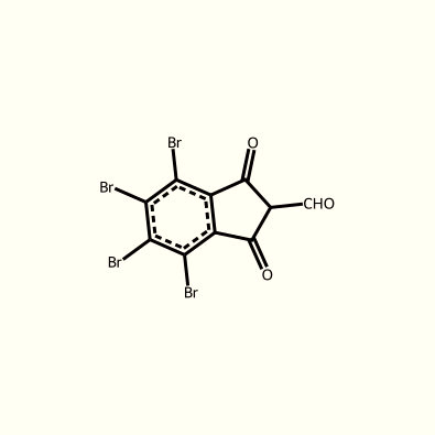 O=CC1C(=O)c2c(Br)c(Br)c(Br)c(Br)c2C1=O